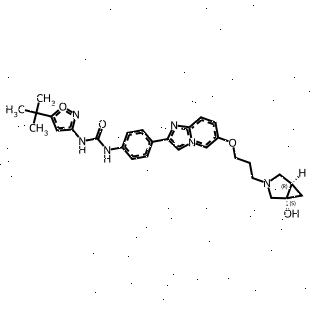 CC(C)(C)c1cc(NC(=O)Nc2ccc(-c3cn4cc(OCCCN5C[C@H]6C[C@@]6(O)C5)ccc4n3)cc2)no1